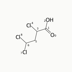 O=C(O)C(Cl)CC(Cl)Cl